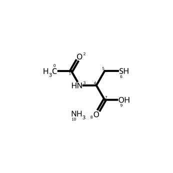 CC(=O)NC(CS)C(=O)O.N